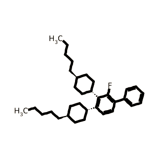 CCCCC[C@H]1CC[C@H](c2ccc(-c3ccccc3)c(F)c2[C@H]2CC[C@H](CCCCC)CC2)CC1